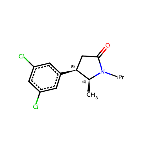 CC(C)N1C(=O)C[C@H](c2cc(Cl)cc(Cl)c2)[C@@H]1C